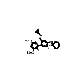 CCOc1cc(OC)cc(-c2ccc(NC3(C(=O)O)CCCCC3)cc2COC2CC2)c1F